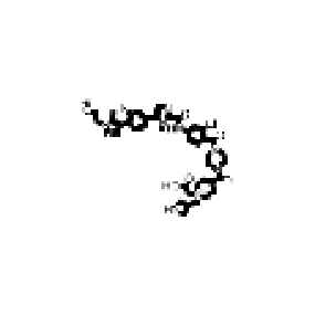 COCCn1ncc(-c2ccc(-c3cnc(C(=O)Nc4ccc(C(=O)N5CCN(C(=O)C6CC[N+](CC(=O)O)(CC7CNC7)CC6)CC5)c(Cl)c4)n3C)cc2F)c1C